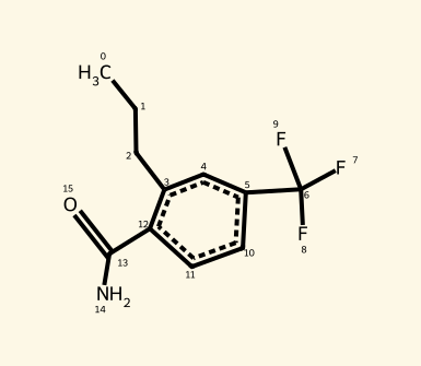 CCCc1cc(C(F)(F)F)ccc1C(N)=O